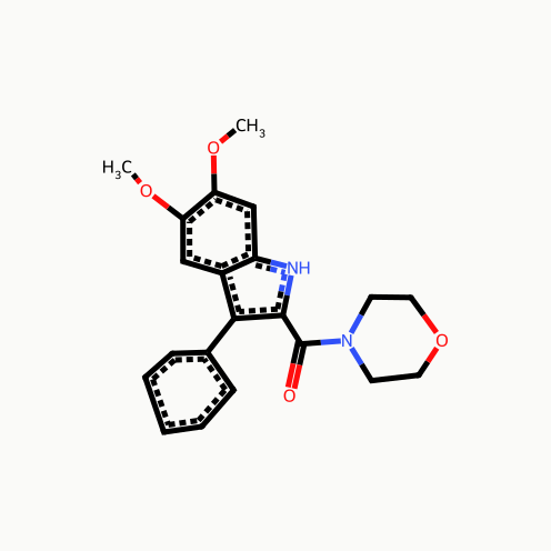 COc1cc2[nH]c(C(=O)N3CCOCC3)c(-c3ccccc3)c2cc1OC